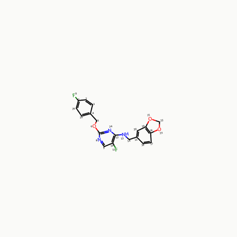 Fc1ccc(COc2ncc(F)c(NCc3ccc4c(c3)OCO4)n2)cc1